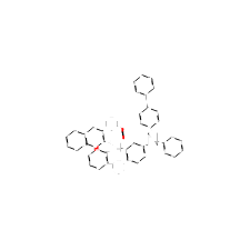 c1ccc(-c2ccc(N(c3ccccc3)c3ccc4c(c3)[Si]3(c5ccccc5O4)c4ccccc4Oc4cc5ccccc5cc43)cc2)cc1